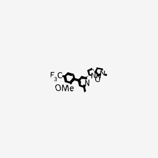 COc1cc(C(F)(F)F)ccc1-c1cc(C)nc([C@@H]2CC[C@@]3(CCN(C)C3=O)N2)c1